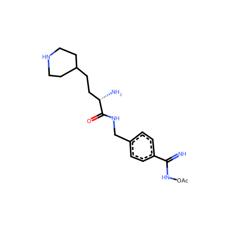 CC(=O)ONC(=N)c1ccc(CNC(=O)[C@@H](N)CCC2CCNCC2)cc1